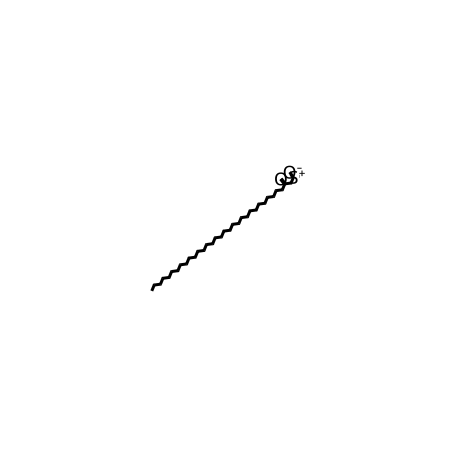 CCCCCCCCCCCCCCCCCCCCCCCCCCCCCCCC(=O)C[S+](C)[O-]